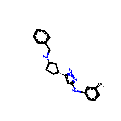 FC(F)(F)c1cccc(Nc2cc([C@@H]3CC[C@H](NCc4ccccc4)C3)[nH]n2)c1